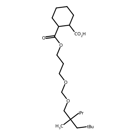 CC(C)C(C)(COCOCCCOC(=O)C1CCCCC1C(=O)O)CC(C)(C)C